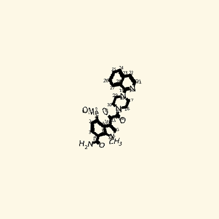 COc1ccc(C(N)=O)c2c1c(C(=O)C(=O)N1CCN(c3nccc4ccccc34)CC1)cn2C